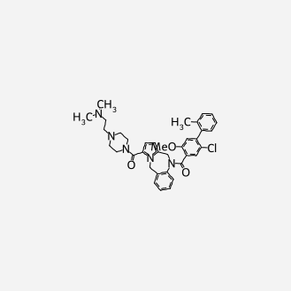 COc1cc(-c2ccccc2C)c(Cl)cc1C(=O)N1Cc2ccc(C(=O)N3CCN(CCN(C)C)CC3)n2Cc2ccccc21